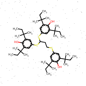 CCC(C)(C)c1cc(SCCC(Sc2cc(C(C)(C)CC)c(O)c(C(C)(C)CC)c2)Sc2cc(C(C)(C)CC)c(O)c(C(C)(C)CC)c2)cc(C(C)(C)CC)c1O